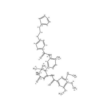 COc1cc(C(=O)NC(=NC(=O)O)N(c2ccc(C)c(NC(=O)c3ccc(CCCc4ccccc4)cc3)c2)C(C)(C)C)cc(OC)c1OC